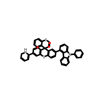 C1=CCNC(c2ccc3c(c2)Sc2ccc(-c4cccc5c4c4ccccc4n5-c4ccccc4)cc2C32c3ccccc3Sc3ccccc32)=C1